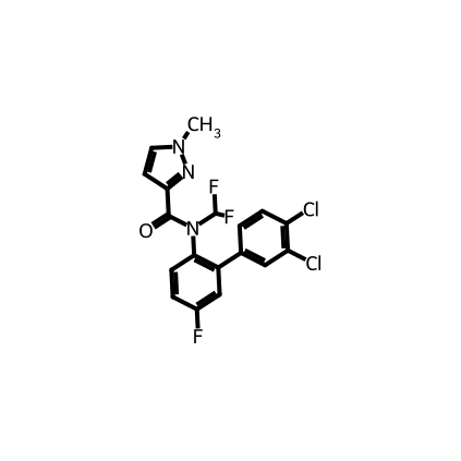 Cn1ccc(C(=O)N(c2ccc(F)cc2-c2ccc(Cl)c(Cl)c2)C(F)F)n1